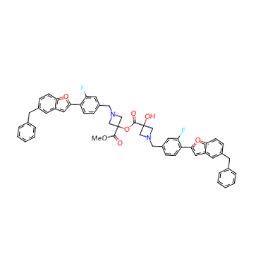 COC(=O)C1(OC(=O)C2(O)CN(Cc3ccc(-c4cc5cc(Cc6ccccc6)ccc5o4)c(F)c3)C2)CN(Cc2ccc(-c3cc4cc(Cc5ccccc5)ccc4o3)c(F)c2)C1